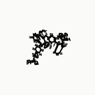 CCCc1c(Cc2ccc(-c3ccccc3-c3noc(=O)[nH]3)cc2)c(=O)n([C@H]2CC[C@H](OCC(=O)C(C)C)CC2)c2ccnn12